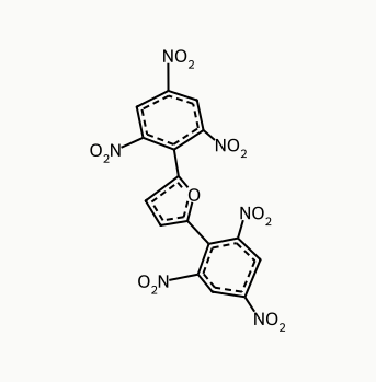 O=[N+]([O-])c1cc([N+](=O)[O-])c(-c2ccc(-c3c([N+](=O)[O-])cc([N+](=O)[O-])cc3[N+](=O)[O-])o2)c([N+](=O)[O-])c1